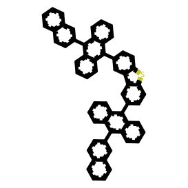 c1ccc2cc(-c3c4ccccc4c(-c4ccc5sc6ccc(-c7c8ccccc8c(-c8ccc9ccccc9c8)c8ccccc78)cc6c5c4)c4ccccc34)ccc2c1